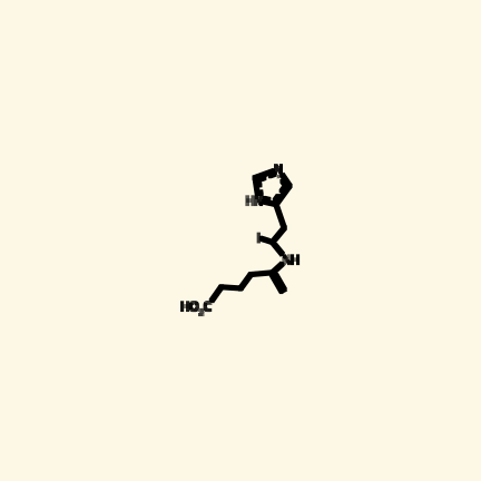 C=C(CCCC(=O)O)NC(I)Cc1cnc[nH]1